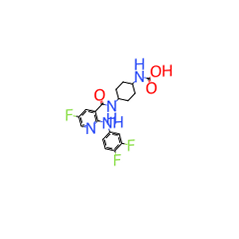 O=C(O)NC1CCC(NC(=O)c2cc(F)cnc2Nc2ccc(F)c(F)c2)CC1